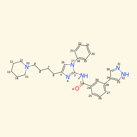 O=C(Nc1nc(CCCCN2CCCCC2)cn1-c1ccccc1)c1cccc(-c2cn[nH]c2)c1